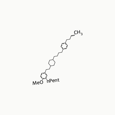 C/C=C/CCc1ccc(CCCCC2CCC(CCc3ccc(OC)c(CCCCC)c3)CC2)cc1